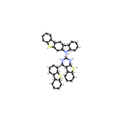 c1ccc2c(c1)sc1cc3c(cc12)c1ccccc1n3-c1nc(-c2cccc3c2sc2ccccc23)c2c(n1)sc1ccccc12